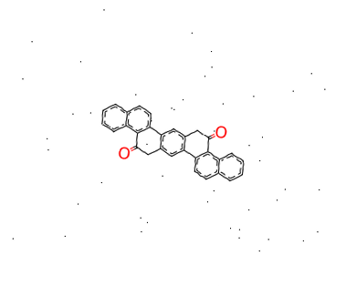 O=C1Cc2cc3c(cc2-c2ccc4ccccc4c21)CC(=O)c1c-3ccc2ccccc12